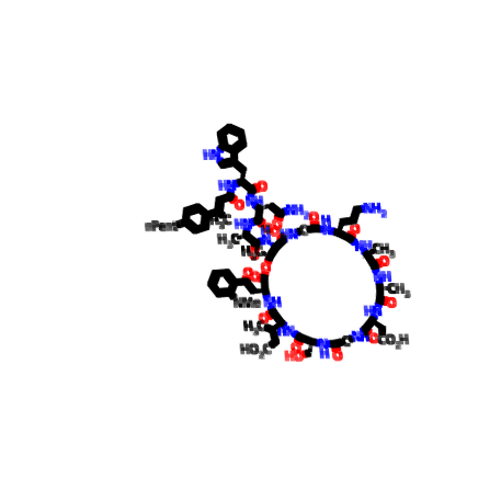 CCCCCc1ccc(/C(C)=C/C(=O)N[C@@H](Cc2c[nH]c3ccccc23)C(=O)N[C@H](CC(N)=O)C(=O)N[C@@H](C)C(=O)N[C@@H]2C(=O)NCC(=O)N[C@@H](CCCN)C(=O)N[C@@H](C)C(=O)N[C@H](C)C(=O)N[C@@H](CC(=O)O)C(=O)NCC(=O)N[C@H](CO)C(=O)N[C@@H](C(C)CC(=O)O)C(=O)N[C@@H](CC(=O)c3ccccc3NC)C(=O)O[C@@H]2C)cc1